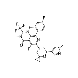 Cn1cc(C2CN(c3nc(-c4ccc(F)cc4F)c4nc(C(F)(F)F)n(C)c(=O)c4c3F)CC3(CC3)O2)cn1